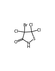 O=C1NSC(Cl)(Cl)C1(Cl)Br